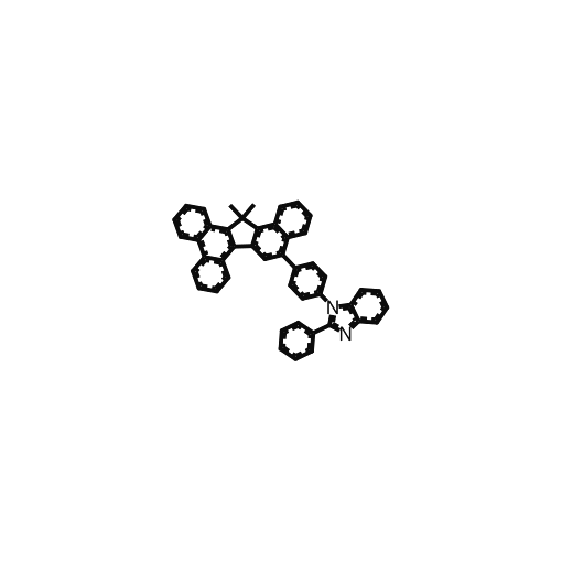 CC1(C)c2c(cc(-c3ccc(-n4c(-c5ccccc5)nc5ccccc54)cc3)c3ccccc23)-c2c1c1ccccc1c1ccccc21